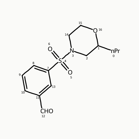 CCCC1CN(S(=O)(=O)c2cccc(C=O)c2)CCO1